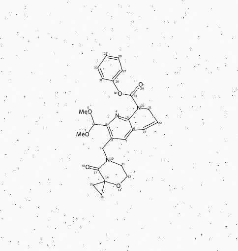 COC(OC)c1nc2c(cc1CN1CCOC3(CC3)C1=O)C=CCN2C(=O)Oc1ccccc1